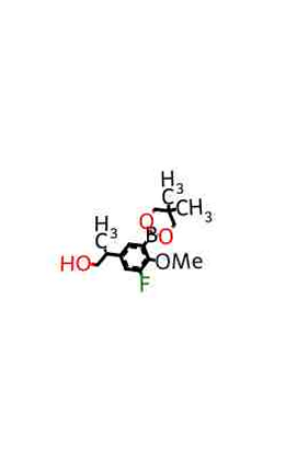 COc1c(F)cc([C@H](C)CO)cc1B1OCC(C)(C)CO1